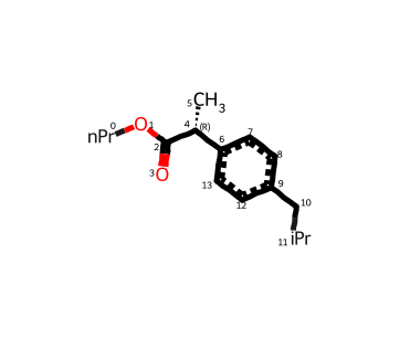 CCCOC(=O)[C@H](C)c1ccc(CC(C)C)cc1